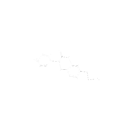 N#CCCc1ccc2c(c1)CC(=O)N(c1ccc(F)cc1)C2